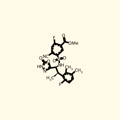 COC(=O)c1cc(S(=O)(=O)N[C@H](c2n[nH]c(=O)o2)[C@H](C)c2c(F)ccc(C)c2C)c(C#N)cc1F